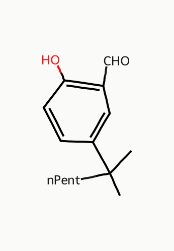 CCCCCC(C)(C)c1ccc(O)c(C=O)c1